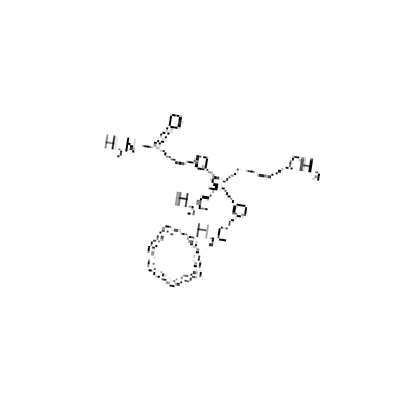 CCC[Si](C)(OC)OCC(N)=O.c1ccccc1